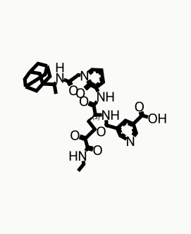 CCNC(=O)C(=O)CC[C@H](NC(=O)c1cncc(C(=O)O)c1)C(=O)Nc1cccn(CC(=O)NC(C)C23CC4CC(CC(C4)C2)C3)c1=O